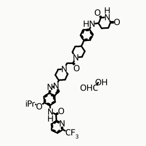 CC(C)Oc1cc2nn(C3CCN(CC(=O)N4CCC(c5ccc(NC6CCC(=O)NC6=O)cc5)CC4)CC3)cc2cc1NC(=O)c1cccc(C(F)(F)F)n1.O=CO